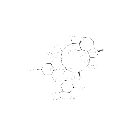 CC[C@H]1OC(=O)[C@H](C)[C@@H](O[C@H]2C[C@@](C)(OC)[C@@H](O)[C@H](C)O2)[C@H](C)[C@@H](O[C@@H]2O[C@H](C)C[C@H](N)[C@H]2O)[C@@](C)(OC)C[C@@H](C)C2=NCCN3C(=O)O[C@@]1(C)[C@H]3[C@H]2C